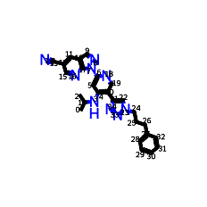 CC(C)Nc1cc(-n2ncc3cc(C#N)cnc32)ncc1-c1cn(CCCc2ccccc2)nn1